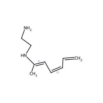 C=C/C=C\C=C(/C)NCCN